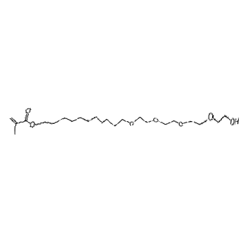 C=C(C)C(=O)OCCCCCCCCCCCOCCOCCOCCOCCO